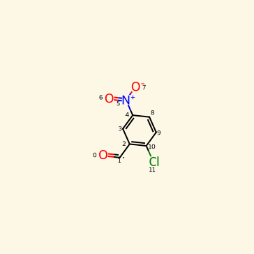 O=[C]c1cc([N+](=O)[O-])ccc1Cl